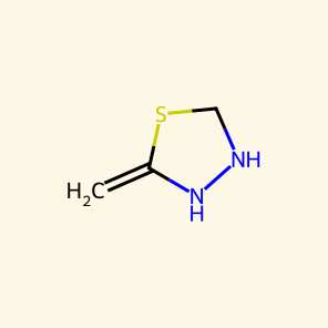 C=C1NNCS1